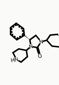 O=C1N(C2CCCCC2)C[C@@H](c2ccccc2)N1C1CCNCC1